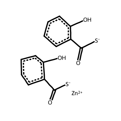 O=C([S-])c1ccccc1O.O=C([S-])c1ccccc1O.[Zn+2]